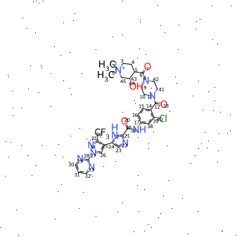 C[N+]1(C)CCC(C(=O)N2CCN(C(=O)c3ccc(NC(=O)c4ncc(-c5cn(-c6ncccn6)nc5C(F)(F)F)[nH]4)cc3Cl)CC2)C(O)C1